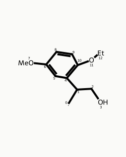 [CH2]C(CO)c1cc(OC)ccc1OCC